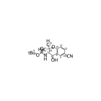 CC(C)(C)OC(=O)N[C@H]1[C@H](O)c2cc(C#N)ccc2OC1(C)C